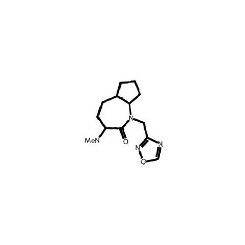 CNC1CCC2CCCC2N(Cc2ncon2)C1=O